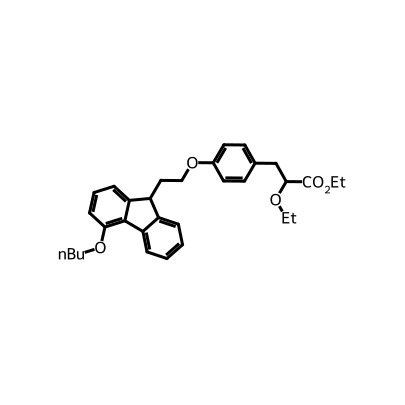 CCCCOc1cccc2c1-c1ccccc1C2CCOc1ccc(CC(OCC)C(=O)OCC)cc1